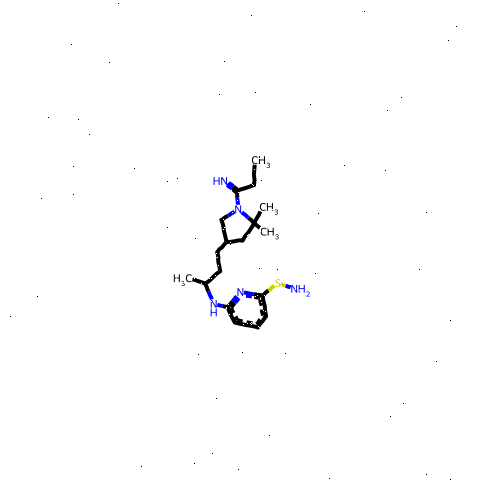 CCC(=N)N1CC(CCC(C)Nc2cccc(SN)n2)CC1(C)C